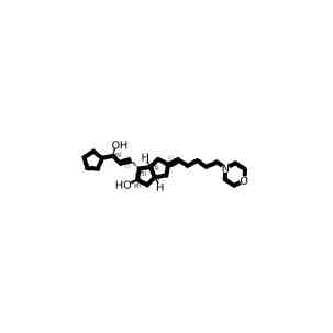 O[C@H](/C=C/[C@@H]1[C@H]2C/C(=C/CCCCN3CCOCC3)C[C@H]2C[C@H]1O)C1CCCC1